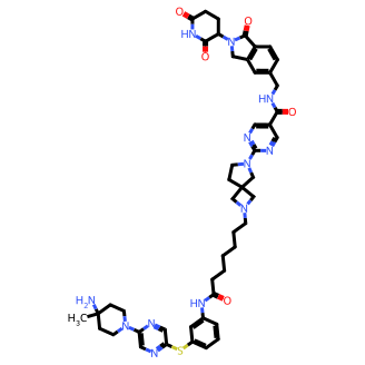 CC1(N)CCN(c2cnc(Sc3cccc(NC(=O)CCCCCCN4CC5(CCN(c6ncc(C(=O)NCc7ccc8c(c7)CN(C7CCC(=O)NC7=O)C8=O)cn6)C5)C4)c3)cn2)CC1